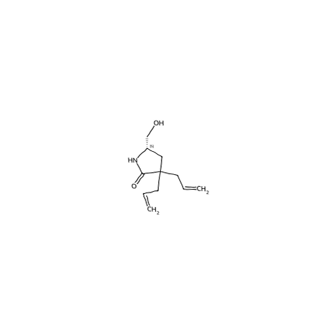 C=CCC1(CC=C)C[C@@H](CO)NC1=O